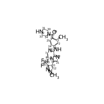 Cc1cc(Nc2nccn3c(-c4cn(C)nc4C(F)(F)F)cnc23)ccc1C(=O)N1CCNCC1